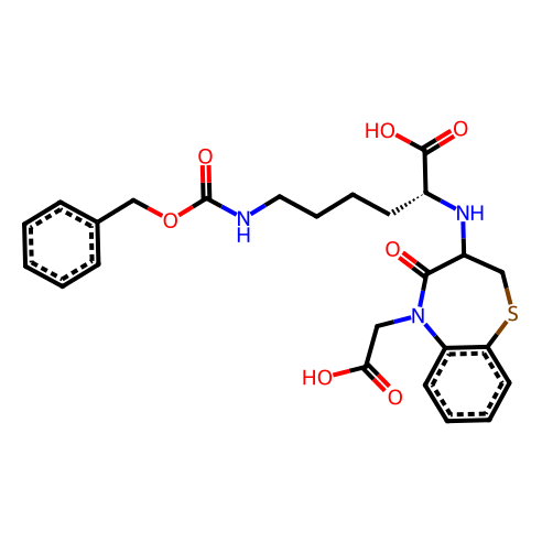 O=C(O)CN1C(=O)C(N[C@H](CCCCNC(=O)OCc2ccccc2)C(=O)O)CSc2ccccc21